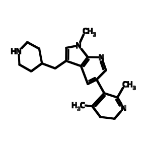 CC1=NCCC(C)=C1c1cnc2c(c1)c(CC1CCNCC1)cn2C